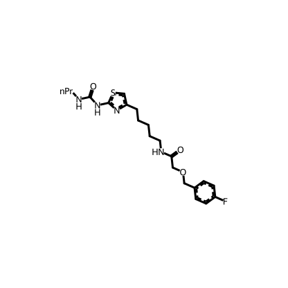 CCCNC(=O)Nc1nc(CCCCCNC(=O)COCc2ccc(F)cc2)cs1